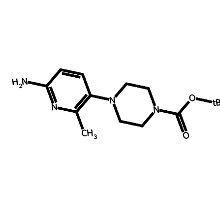 Cc1nc(N)ccc1N1CCN(C(=O)OC(C)(C)C)CC1